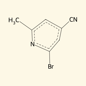 Cc1cc(C#N)cc(Br)n1